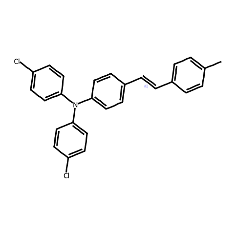 Cc1ccc(/C=C/c2ccc(N(c3ccc(Cl)cc3)c3ccc(Cl)cc3)cc2)cc1